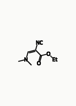 [C-]#[N+]C(=CN(C)C)C(=O)OCC